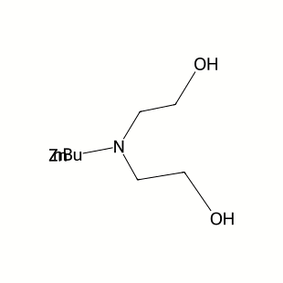 CCCCN(CCO)CCO.[Zn]